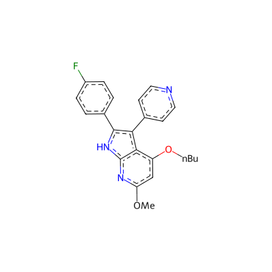 CCCCOc1cc(OC)nc2[nH]c(-c3ccc(F)cc3)c(-c3ccncc3)c12